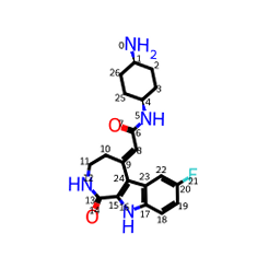 N[C@H]1CC[C@@H](NC(=O)/C=C2\CCNC(=O)c3[nH]c4ccc(F)cc4c32)CC1